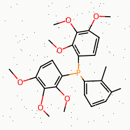 COc1ccc(P(c2cccc(C)c2C)c2ccc(OC)c(OC)c2OC)c(OC)c1OC